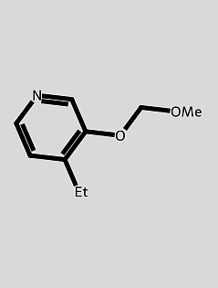 [CH2]Cc1ccncc1OCOC